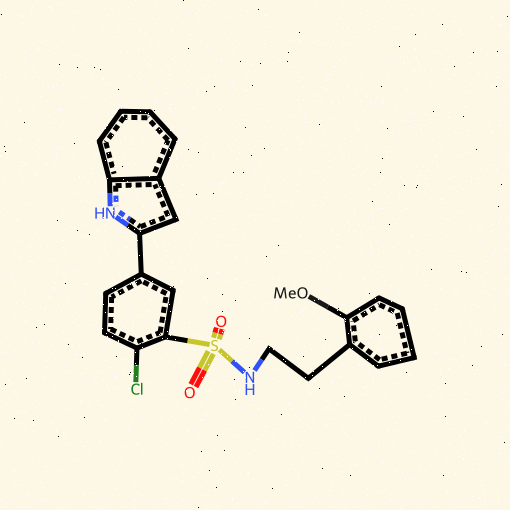 COc1ccccc1CCNS(=O)(=O)c1cc(-c2cc3ccccc3[nH]2)ccc1Cl